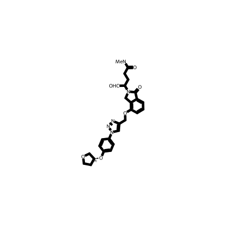 CNC(=O)CCC(C=O)N1Cc2c(OCc3cn(-c4ccc(O[C@@H]5CCOC5)cc4)nn3)cccc2C1=O